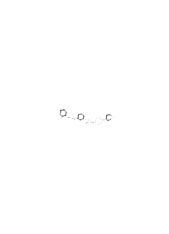 O=C(NCC1CCN(c2ccncc2)CC1)c1cccc(CNCc2ccc(Cl)cc2Cl)c1